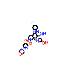 N=CC1=C(Nc2ccc(F)cc2)C=C2CCN(S(=O)(=O)c3ccc(N4CCOCC4)nc3)C[C@@]2(CN2CC[C@H](O)C2)C1